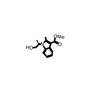 COC(=O)c1c(C)n([C@H](C)CO)c2ccccc12